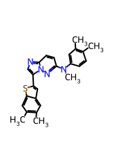 Cc1ccc(N(C)c2ccc3ncc(-c4cc5cc(C)c(C)cc5s4)n3n2)cc1C